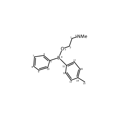 CNCCOB(c1ccccc1)c1ccc(C)cc1